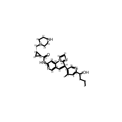 CCCC(O)c1cc(C)c(-c2cc3cnc(NC(=O)[C@H]4C[C@@H]4CN4CCNCC4)cc3n3ccnc23)cn1